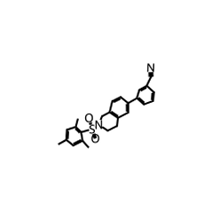 Cc1cc(C)c(S(=O)(=O)N2CCc3cc(-c4cccc(C#N)c4)ccc3C2)c(C)c1